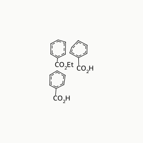 CCOC(=O)c1ccccc1.O=C(O)c1ccccc1.O=C(O)c1ccccc1